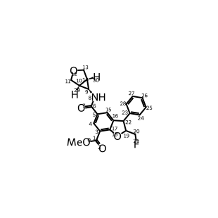 COC(=O)c1cc(C(=O)N[C@H]2[C@@H]3COC[C@@H]32)cc2c1OC(CF)C2c1ccccc1